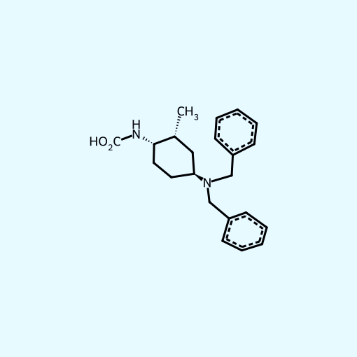 C[C@@H]1C[C@@H](N(Cc2ccccc2)Cc2ccccc2)CC[C@@H]1NC(=O)O